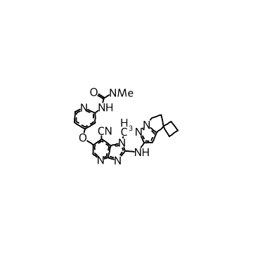 CNC(=O)Nc1cc(Oc2cnc3nc(Nc4cc5n(n4)CCC54CCC4)n(C)c3c2C#N)ccn1